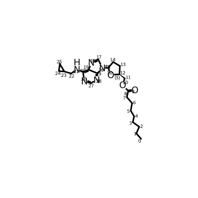 CCCCCCCCC(=O)OC[C@@H]1CC[C@H](n2cnc3c(NCC4CC4)ncnc32)O1